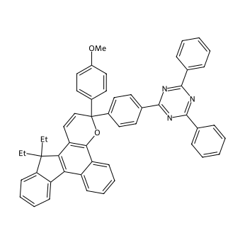 CCC1(CC)c2ccccc2-c2c1c1c(c3ccccc23)OC(c2ccc(OC)cc2)(c2ccc(-c3nc(-c4ccccc4)nc(-c4ccccc4)n3)cc2)C=C1